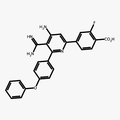 N=C(N)c1c(N)cc(-c2ccc(C(=O)O)c(F)c2)nc1-c1ccc(Oc2ccccc2)cc1